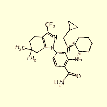 CC1(C)CCc2c(C(F)(F)F)nn(-c3ccc(C(N)=O)c(N[C@H]4CCCC[C@@H]4NCC4CC4)c3)c2C1